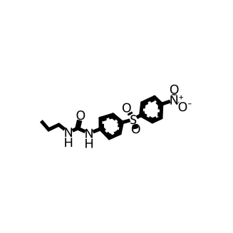 CCCNC(=O)Nc1ccc(S(=O)(=O)c2ccc([N+](=O)[O-])cc2)cc1